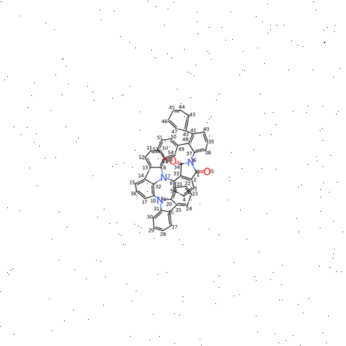 O=C1c2cccc(-n3c4ccccc4c4cccc(-n5c6ccccc6c6ccccc65)c43)c2C(=O)N1c1cccc(-c2ccccc2)c1-c1ccccc1